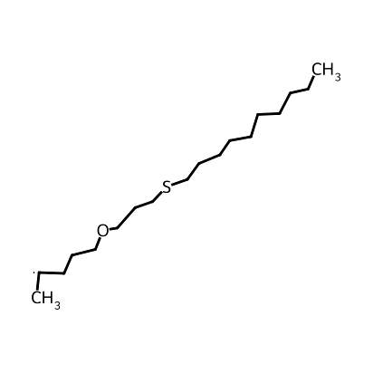 C[CH]CCCOCCCSCCCCCCCCCC